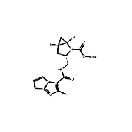 Cc1nc2sccn2c1C(=O)NC[C@@H]1C[C@@H]2C[C@@H]2N1C(=O)OC(C)(C)C